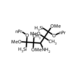 CCCOC([SiH3])(OC)C(C)(OC)C(N)C(C)(OC)C([SiH3])(OC)OCCC